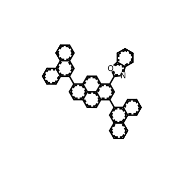 c1ccc2c(c1)cc(-c1ccc3ccc4c(-c5cc6ccccc6c6ccccc56)cc(-c5nc6ccccc6o5)c5ccc1c3c54)c1ccccc12